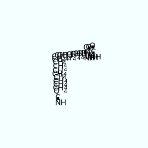 C.C.C.C.C.C.C.C.C.C.C.C.C.C.C.C.C.C.N=C=O.N=C=O.N=C=O.N=C=O